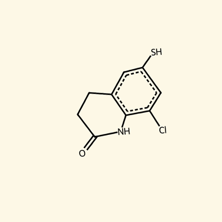 O=C1CCc2cc(S)cc(Cl)c2N1